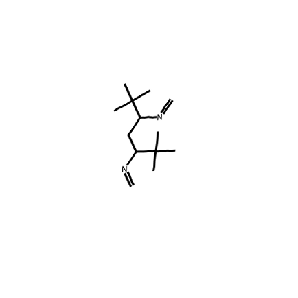 C=NC(CC(N=C)C(C)(C)C)C(C)(C)C